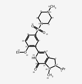 CCCN1Cc2nc(-c3cc(S(=O)(=O)N4CCN(C)CC4)ccc3OCC)[nH]c(=O)c2N1C